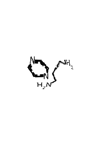 NCCN.c1cnccn1